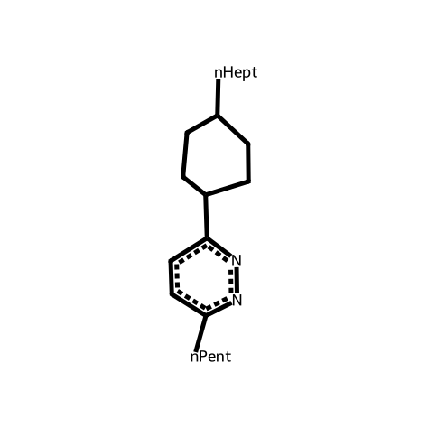 CCCCCCCC1CCC(c2ccc(CCCCC)nn2)CC1